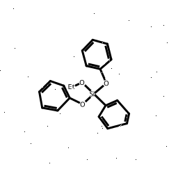 CCO[Si](Oc1ccccc1)(Oc1ccccc1)c1ccccc1